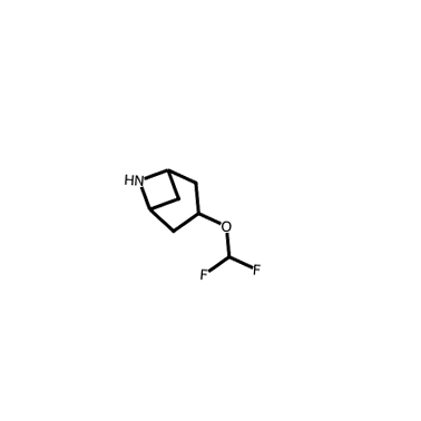 FC(F)OC1CC2CC(C1)N2